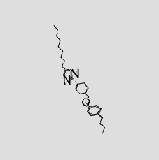 CCCCCCCCCc1cnc([C@H]2CC[C@H](COc3ccc(CCCC)cc3)CC2)nc1